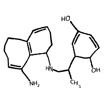 CC(NC1CC=CC2=C1C(N)=CCC2)C1C=C(O)C=CC1O